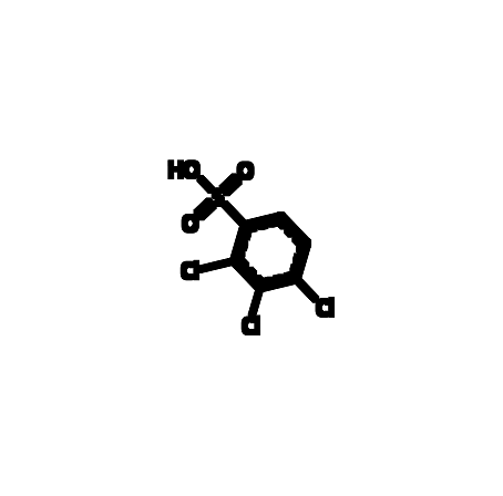 O=S(=O)(O)c1ccc(Cl)c(Cl)c1Cl